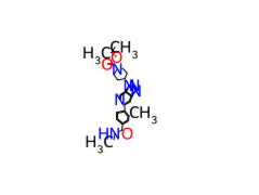 CCNC(=O)c1ccc(-c2cc3nnn(C4CCN(C(=O)OC(C)C)CC4)c3cn2)c(C)c1